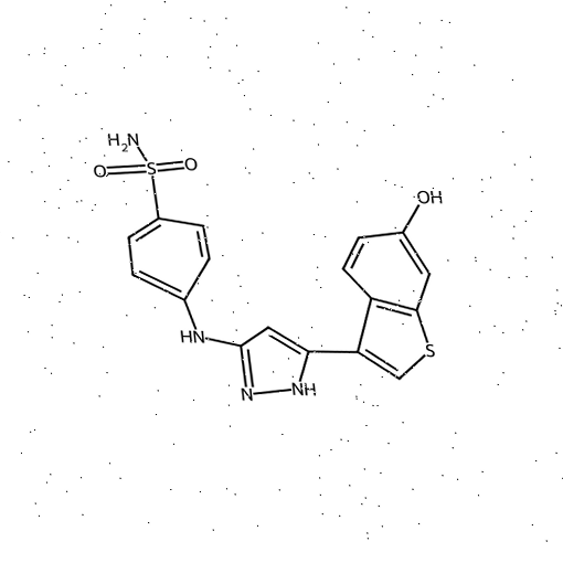 NS(=O)(=O)c1ccc(Nc2cc(-c3csc4cc(O)ccc34)[nH]n2)cc1